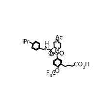 CC(=O)N1CCN(S(=O)(=O)c2ccc(OC(F)(F)F)c(CCCC(=O)O)c2)[C@@H](C(=O)NCc2ccc(C(C)C)cc2)C1